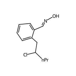 CCCC(Cl)Cc1ccccc1C=NO